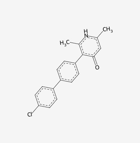 Cc1cc(=O)c(-c2ccc(-c3ccc(Cl)cc3)cc2)c(C)[nH]1